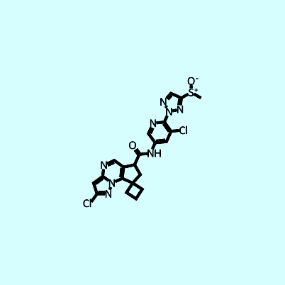 C[S+]([O-])c1cnn(-c2ncc(NC(=O)C3CC4(CCC4)c4c3cnc3cc(Cl)nn43)cc2Cl)n1